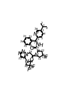 CC(C)c1ccc([C@@H](NC(=O)[C@@H]2C[C@@H](F)CN2C(=O)Cn2nncc2N2CC(F)(F)C2)c2ccccc2)nc1